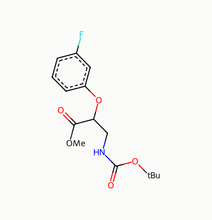 COC(=O)C(CNC(=O)OC(C)(C)C)Oc1cccc(F)c1